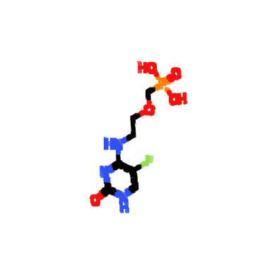 O=c1nc(NCCOCP(=O)(O)O)c(F)c[nH]1